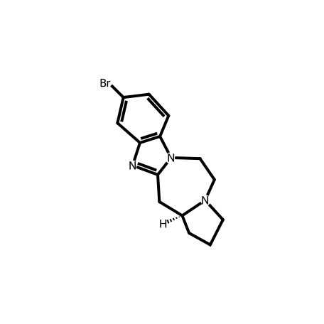 Brc1ccc2c(c1)nc1n2CCN2CCC[C@H]2C1